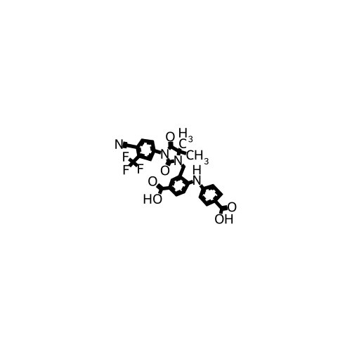 CC1(C)C(=O)N(c2ccc(C#N)c(C(F)(F)F)c2)C(=O)N1Cc1cc(C(=O)O)ccc1Nc1ccc(C(=O)O)cc1